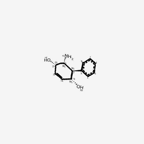 N[C@@H]1[C@@H](c2ccccc2)[C@H](O)C=C[C@@H]1O